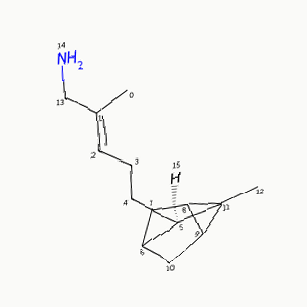 C/C(=C\CC[C@@H]1C2CC3C(C2)C31C)CN